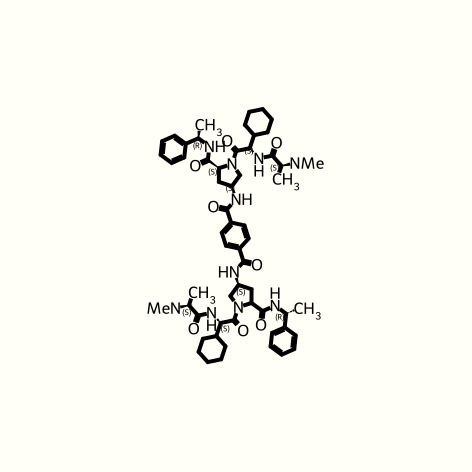 CN[C@@H](C)C(=O)N[C@H](C(=O)N1C[C@@H](NC(=O)c2ccc(C(=O)N[C@H]3C[C@@H](C(=O)N[C@H](C)c4ccccc4)N(C(=O)[C@@H](NC(=O)[C@H](C)NC)C4CCCCC4)C3)cc2)CC1C(=O)N[C@H](C)c1ccccc1)C1CCCCC1